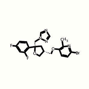 Cc1nc(Br)ccc1OC[C@@H]1CO[C@@](Cn2cncn2)(c2ccc(F)cc2F)C1